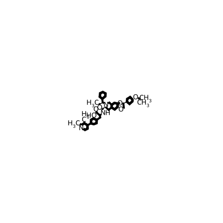 CC[C@@H](c1ccccc1)N1Cc2cc3c(cc2C[C@H]1C(=O)NC(Cc1ccc(-c2ccnc(C)c2C)cc1)C(=O)O)OC[C@H](c1ccc(OC(C)C)cc1)O3